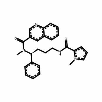 CN(C(=O)c1cnc2ccccc2c1)[C@@H](CCCNC(=O)c1cccn1C)c1ccccc1